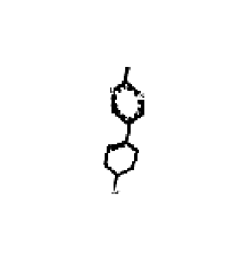 CC(=O)C1CC=C(c2cnc(C)nc2)CC1